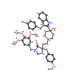 COc1ccc(CC2(CCN3CCC(O)(c4nc5ccccc5n4Cc4ccc(F)cc4)CC3)CCN(Cc3cc(OC)c(OC)c(OC)c3)C2=O)cc1